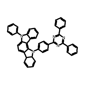 C1=CC2c3ccc4c(c3N(c3ccc(-c5nc(-c6ccccc6)nc(-c6ccccc6)n5)cc3)C2C=C1)c1ccccc1n4-c1ccccc1